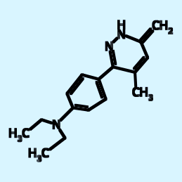 C=C1C=C(C)C(c2ccc(N(CC)CC)cc2)=NN1